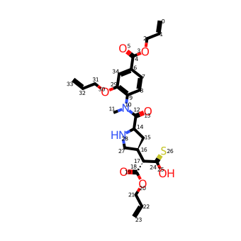 C=CCOC(=O)c1ccc(N(C)C(=O)C2C[C@@H]([C@@H](C(=O)OCC=C)C(O)=S)CN2)c(OCC=C)c1